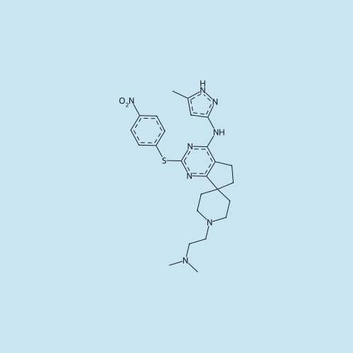 Cc1cc(Nc2nc(Sc3ccc([N+](=O)[O-])cc3)nc3c2CCC32CCN(CCN(C)C)CC2)n[nH]1